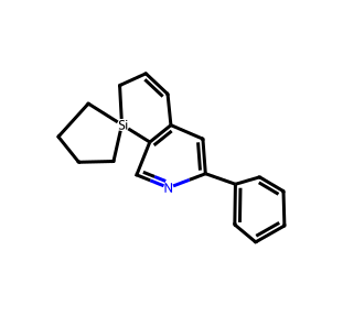 C1=Cc2cc(-c3ccccc3)ncc2[Si]2(C1)CCCC2